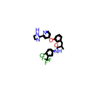 CC(Cc1cccc(Oc2ccnc(C3=NCCN3)c2)c1)C(=O)Nc1ccc(Cl)c(C(F)(F)F)c1